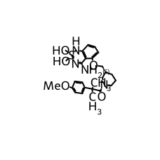 COc1ccc(C(C)(C)C(=O)N2CCC[C@H](COc3cccc4c3C(N)=NS(O)(O)N4)C2)cc1